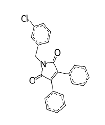 O=C1C(c2ccccc2)=C(c2ccccc2)C(=O)N1Cc1cccc(Cl)c1